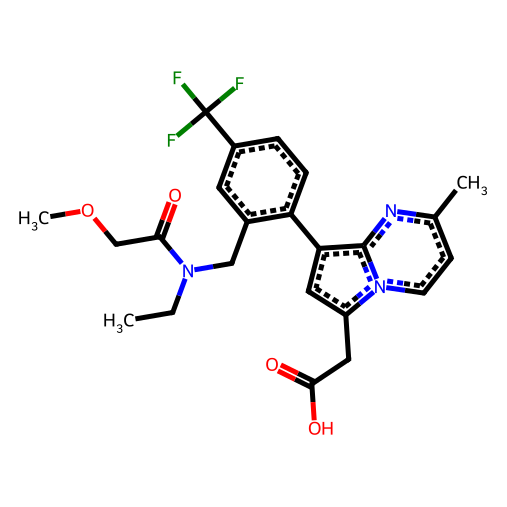 CCN(Cc1cc(C(F)(F)F)ccc1-c1cc(CC(=O)O)n2ccc(C)nc12)C(=O)COC